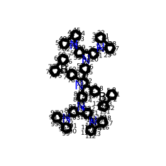 c1ccc2c(c1)B(c1ccc(-c3cc(-c4ccc(-n5c6ccc(-n7c8ccccc8c8ccccc87)cc6c6cc(-n7c8ccccc8c8ccccc87)ccc65)cc4)c(-c4ccc(B5c6ccccc6-c6ccccc65)cc4)nc3-c3ccc(-n4c5ccc(-n6c7ccccc7c7ccccc76)cc5c5cc(-n6c7ccccc7c7ccccc76)ccc54)cc3)cc1)c1ccccc1-2